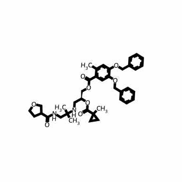 Cc1cc(OCc2ccccc2)c(OCc2ccccc2)cc1C(=O)OC[C@H](CNC(C)(C)CNC(=O)C1CCOC1)OC(=O)C1(C)CC1